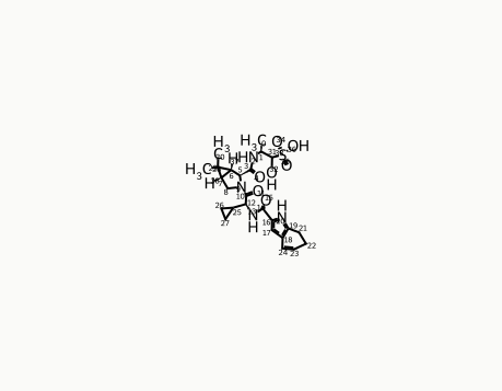 C[C@H](NC(=O)[C@@H]1[C@@H]2[C@H](CN1C(=O)[C@@H](NC(=O)c1cc3c([nH]1)CCC=C3)C1CC1)C2(C)C)C(O)S(=O)(=O)O